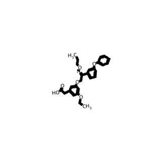 CCCON=C(COc1cc(CC(=O)O)cc(OCC)c1)c1cccc(Oc2ccccc2)c1